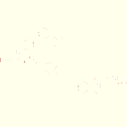 O=C1CCC(N2C(=O)c3cccc(CCCCCCCC(=O)Nc4cccc(-c5ccc6c(c5)[C@H]5[C@H](CCN5Cc5ccncc5)[C@@H](CO)N6)c4)c3C2=O)C(=O)N1